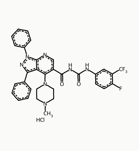 CN1CCN(c2c(C(=O)NC(=O)Nc3ccc(F)c(C(F)(F)F)c3)cnc3c2c(-c2ccccc2)nn3-c2ccccc2)CC1.Cl